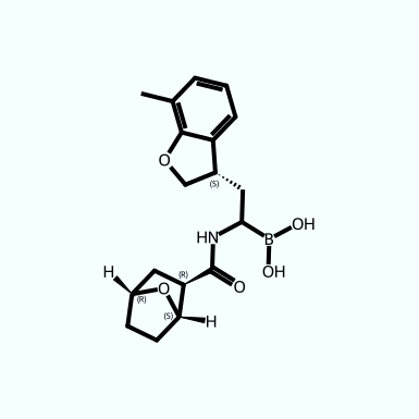 Cc1cccc2c1OC[C@H]2CC(NC(=O)[C@@H]1C[C@H]2CC[C@@H]1O2)B(O)O